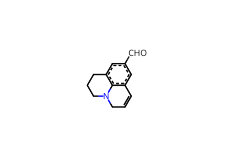 O=Cc1cc2c3c(c1)CCCN3CC=C2